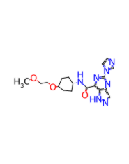 COCCO[C@H]1CC[C@H](NC(=O)c2nc(-n3ccnc3)nc3cn[nH]c23)CC1